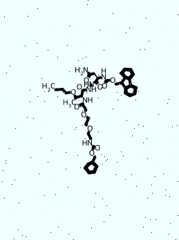 CCCCOC(C)[C@@H](NC(=O)COCCOCCNC(=O)OCc1ccccc1)C(=O)NNC(=O)[C@@H](CC(N)=O)NC(=O)OCC1c2ccccc2-c2ccccc21